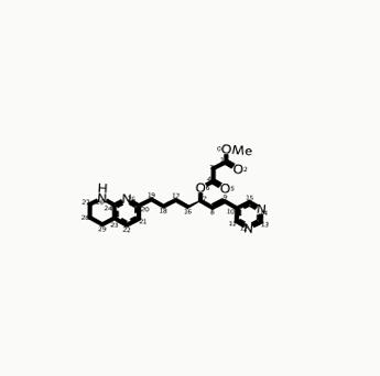 COC(=O)CC(=O)O[C@@H](/C=C/c1cncnc1)CCCCc1ccc2c(n1)NCCC2